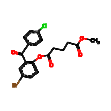 COC(=O)CCCC(=O)Oc1ccc(Br)cc1C(=O)c1ccc(Cl)cc1